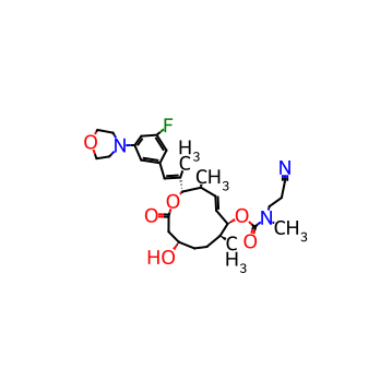 C/C(=C\c1cc(F)cc(N2CCOCC2)c1)[C@H]1OC(=O)C[C@H](O)CC[C@H](C)[C@H](OC(=O)N(C)CCC#N)/C=C/[C@@H]1C